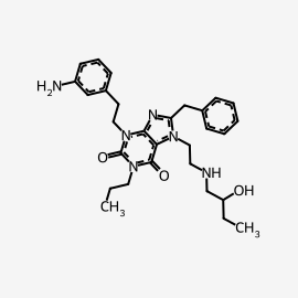 CCCn1c(=O)c2c(nc(Cc3ccccc3)n2CCNCC(O)CC)n(CCc2cccc(N)c2)c1=O